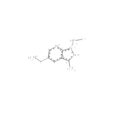 NCc1cnc2c(c1)c(C(F)(F)F)nn2PI